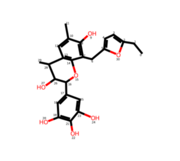 CCc1ccc(Cc2c(O)c(C)cc3c2OC(c2cc(O)c(O)c(O)c2)C(O)C3C)o1